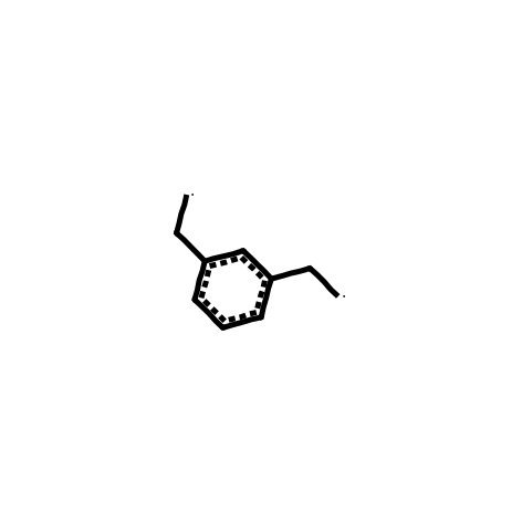 [CH2]Cc1cccc(C[CH2])c1